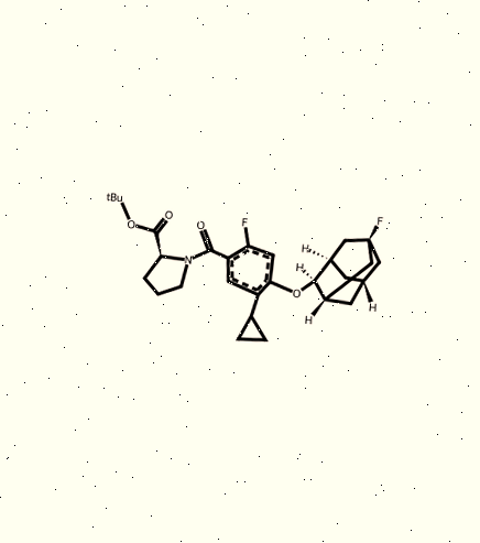 CC(C)(C)OC(=O)[C@@H]1CCCN1C(=O)c1cc(C2CC2)c(O[C@H]2[C@@H]3C[C@H]4C[C@H]2C[C@@](F)(C4)C3)cc1F